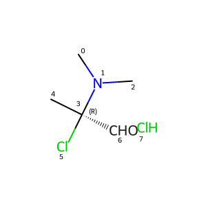 CN(C)[C@](C)(Cl)C=O.Cl